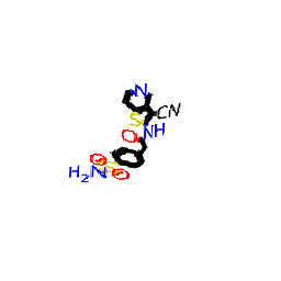 N#Cc1c(NC(=O)Cc2ccc(S(N)(=O)=O)cc2)sc2c1C=NCC2